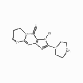 CCn1c(N2CCNCC2)nc2nc3n(c(=O)c21)CCCO3